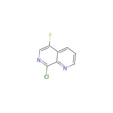 Fc1cnc(Cl)c2ncccc12